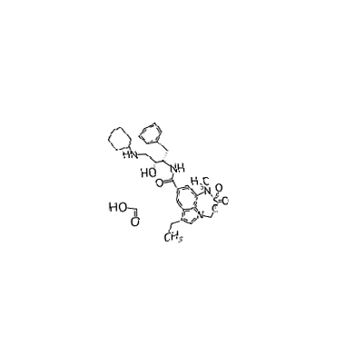 CCc1cn2c3c(cc(C(=O)N[C@@H](Cc4ccccc4)[C@H](O)CNC4CCCCC4)cc13)N(C)S(=O)(=O)CC2.O=CO